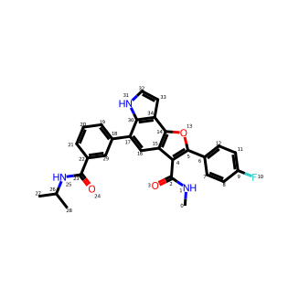 CNC(=O)c1c(-c2ccc(F)cc2)oc2c1cc(-c1cccc(C(=O)NC(C)C)c1)c1[nH]ccc12